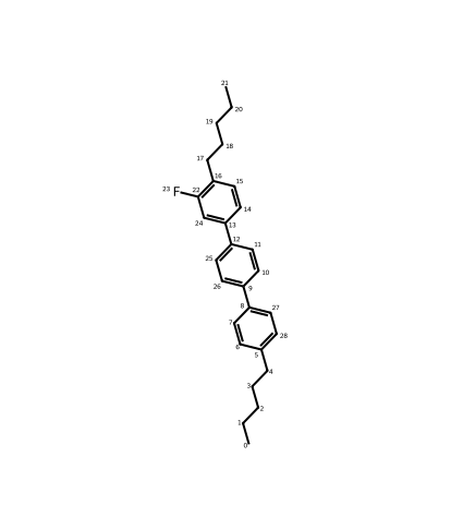 CCCCCc1ccc(-c2ccc(-c3ccc(CCCCC)c(F)c3)cc2)cc1